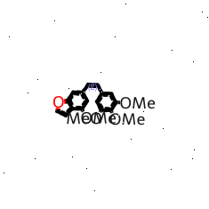 COc1cc(/C=C\c2cc(OC)c3ccoc3c2)cc(OC)c1OC